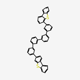 c1cc(-c2cccc(-c3cccc(-c4cccc5c4sc4ccccc45)c3)c2)cc(-c2cccc(-c3ccc4c(c3)sc3ccccc34)c2)c1